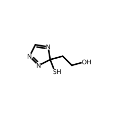 OCCC1(S)N=CN=N1